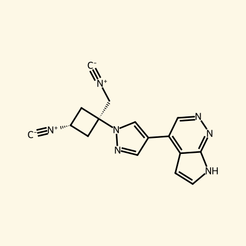 [C-]#[N+]C[C@]1(n2cc(-c3cnnc4[nH]ccc34)cn2)C[C@H]([N+]#[C-])C1